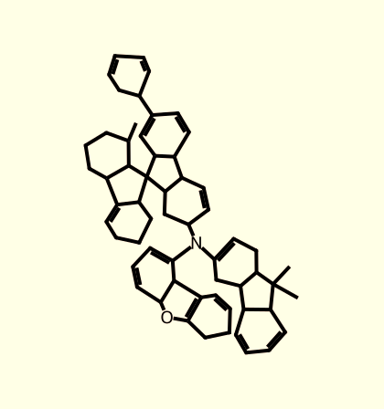 CC1CCCC2C3=CCCCC3C3(C4C=C(C5C=CC=CC5)C=CC4C4C=CC(N(C5=CCC6C(C5)C5C=CC=CC5C6(C)C)C5=CC=CC6OC7=C(C=CCC7)C56)CC43)C12